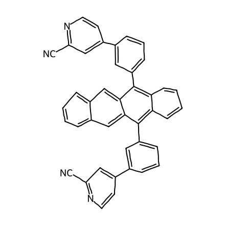 N#Cc1cc(-c2cccc(-c3c4ccccc4c(-c4cccc(-c5ccnc(C#N)c5)c4)c4cc5ccccc5cc34)c2)ccn1